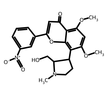 COc1cc(OC)c2c(=O)cc(-c3cccc([N+](=O)[O-])c3)oc2c1C1CCN(C)C1CO